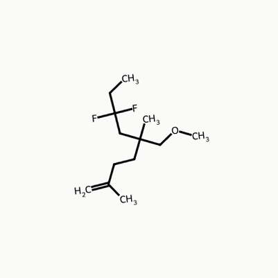 C=C(C)CCC(C)(COC)CC(F)(F)CC